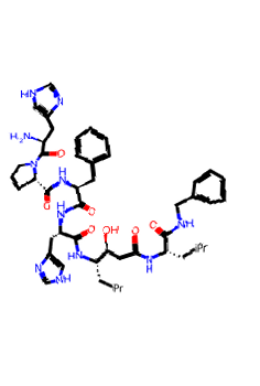 CC(C)C[C@H](NC(=O)C[C@H](O)[C@H](CC(C)C)NC(=O)[C@H](Cc1c[nH]cn1)NC(=O)[C@H](Cc1ccccc1)NC(=O)[C@@H]1CCCN1C(=O)[C@@H](N)Cc1c[nH]cn1)C(=O)NCc1ccccc1